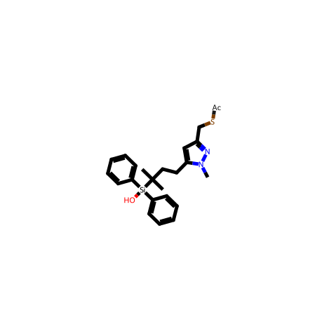 CC(=O)SCc1cc(CCC(C)(C)[Si](O)(c2ccccc2)c2ccccc2)n(C)n1